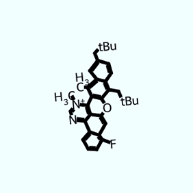 Cc1c2c(c(CC(C)(C)C)c3ccc(CC(C)(C)C)cc13)Oc1cc3c(F)cccc3c3nc[n+](C)c-2c13